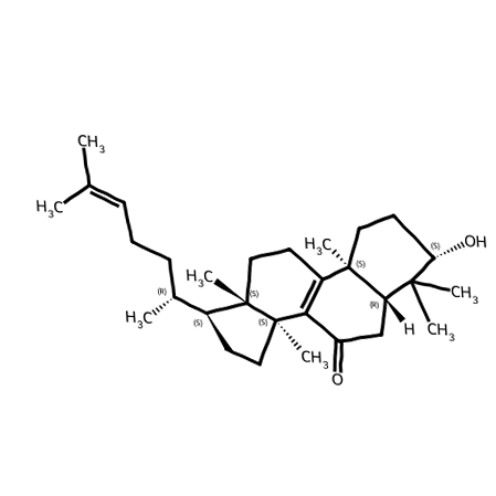 CC(C)=CCC[C@@H](C)[C@@H]1CC[C@]2(C)C3=C(CC[C@@]12C)[C@@]1(C)CC[C@H](O)C(C)(C)[C@@H]1CC3=O